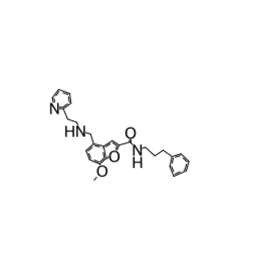 COc1ccc(CNCCc2ccccn2)c2cc(C(=O)NCCCc3ccccc3)oc12